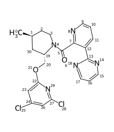 C[C@H]1CCN(C(=O)c2ncccc2-c2ncccn2)[C@H](COc2cc(Cl)cc(Cl)n2)C1